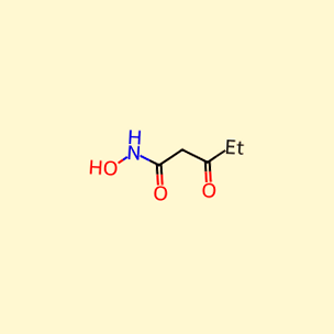 CCC(=O)CC(=O)NO